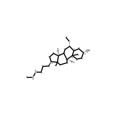 CC[C@H]1CC2[C@H](CCC3(C)[C@@H](CCCOSC)CC[C@@H]23)C2(C)CC[C@@H](O)CC12